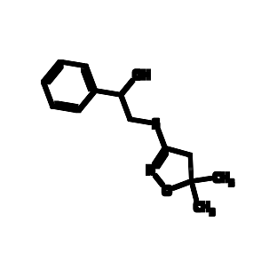 CC1(C)CC(SCC(O)c2ccccc2)=NO1